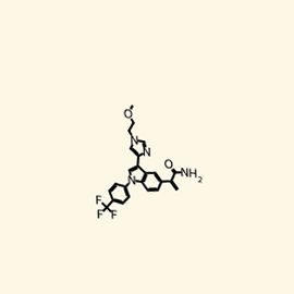 C=C(C(N)=O)c1ccc2c(c1)c(-c1cn(CCOC)cn1)cn2-c1ccc(C(F)(F)F)cc1